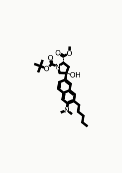 CCCCCc1cc2cc([C@]3(O)C[C@@H](C(=O)OC)N(C(=O)OC(C)(C)C)C3)ccc2cc1N(C)C